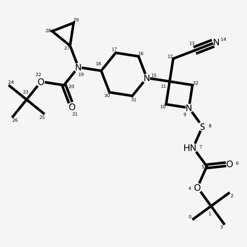 CC(C)(C)OC(=O)NSN1CC(CC#N)(N2CCC(N(C(=O)OC(C)(C)C)C3CC3)CC2)C1